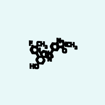 Cc1nc(C2C[C@@H](O)CC[C@]23CCn2c(-c4ccc5ncn(C)c(=O)c5c4)cnc23)ccc1F